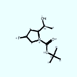 C[C@H](O)C1CC(F)CN1C(=O)OC(C)(C)C